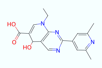 CCN1C=C(C(=O)O)C(O)c2cnc(-c3cc(C)nc(C)c3)nc21